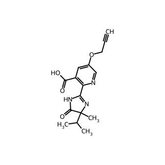 C#CCOc1cnc(C2=NC(C)(C(C)C)C(=O)N2)c(C(=O)O)c1